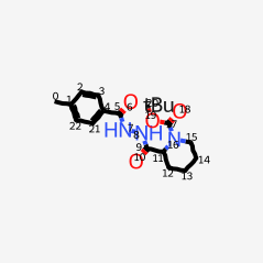 Cc1ccc(C(=O)NNC(=O)C2CCCCN2C(=O)OC(C)(C)C)cc1